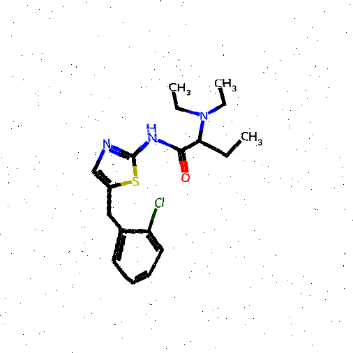 CCC(C(=O)Nc1ncc(Cc2ccccc2Cl)s1)N(CC)CC